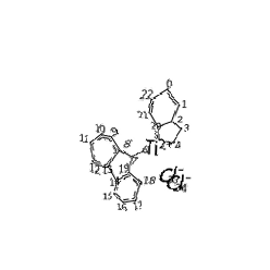 C1=CC2CC[CH]([Ti+2][CH]3c4ccccc4-c4ccccc43)C2C=C1.[Cl-].[Cl-]